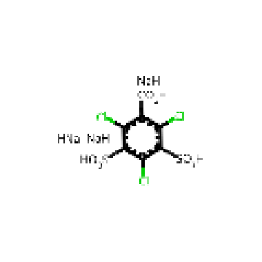 O=C(O)c1c(Cl)c(S(=O)(=O)O)c(Cl)c(S(=O)(=O)O)c1Cl.[NaH].[NaH].[NaH]